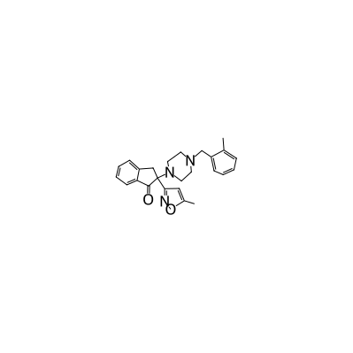 Cc1cc(C2(N3CCN(Cc4ccccc4C)CC3)Cc3ccccc3C2=O)no1